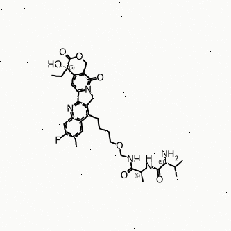 CC[C@@]1(O)C(=O)OCc2c1cc1n(c2=O)Cc2c-1nc1cc(F)c(C)cc1c2CCCCOCNC(=O)[C@H](C)NC(=O)[C@@H](N)C(C)C